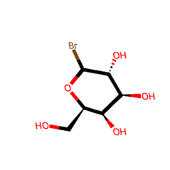 OC[C@H]1OC(Br)[C@H](O)[C@@H](O)[C@H]1O